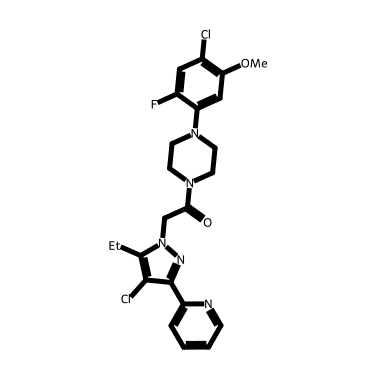 CCc1c(Cl)c(-c2ccccn2)nn1CC(=O)N1CCN(c2cc(OC)c(Cl)cc2F)CC1